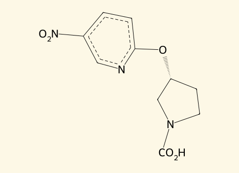 O=C(O)N1CC[C@@H](Oc2ccc([N+](=O)[O-])cn2)C1